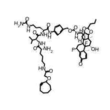 CCCC1O[C@@H]2CC3[C@@H]4C[C@H](F)C5=CC(=O)C=C[C@]5(C)[C@@]4(F)[C@@H](O)C[C@]3(C)[C@]2(C(=O)CNC(=O)OCc2ccc(NC(=O)[C@H](CCCNC(N)=O)NC(=O)[C@@H](NC(=O)[C@H](N)CCCCNC(=O)COC3C#CCCCCC3)C(C)C)cc2)O1